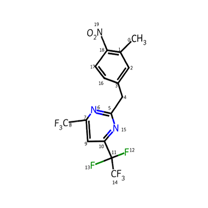 Cc1cc(Cc2nc(C(F)(F)F)cc(C(F)(F)C(F)(F)F)n2)ccc1[N+](=O)[O-]